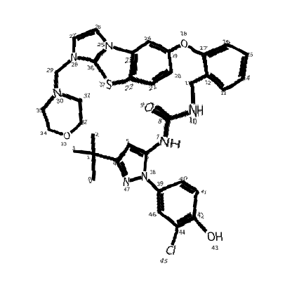 CC(C)(C)c1cc(NC(=O)NCc2ccccc2Oc2ccc3c(c2)N2C=CN(CN4CCOCC4)C2S3)n(-c2ccc(O)c(Cl)c2)n1